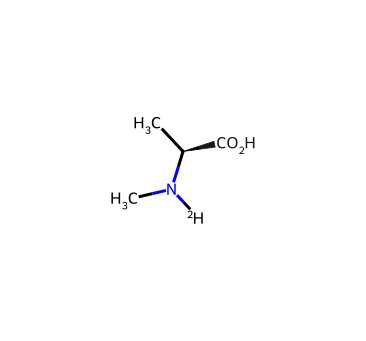 [2H]N(C)[C@@H](C)C(=O)O